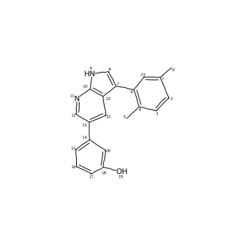 Cc1ccc(C)c(-c2c[nH]c3ncc(-c4cccc(O)c4)cc23)c1